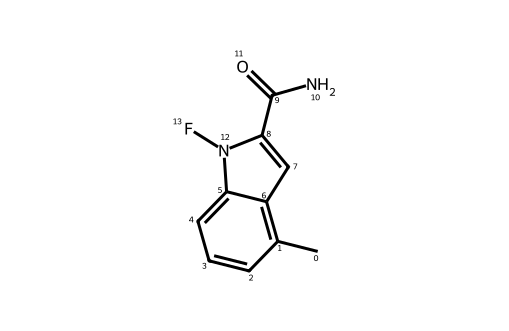 Cc1cccc2c1cc(C(N)=O)n2F